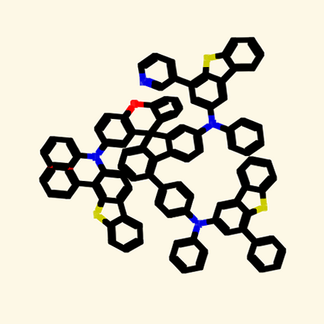 c1ccc(-c2cc(N(c3ccccc3)c3ccc(-c4cccc5c4-c4ccc(N(c6ccccc6)c6cc(-c7cccnc7)c7sc8ccccc8c7c6)cc4C54c5ccccc5Oc5ccc(N(c6ccccc6)c6ccc7c(sc8ccccc87)c6-c6ccccc6)cc54)cc3)cc3c2sc2ccccc23)cc1